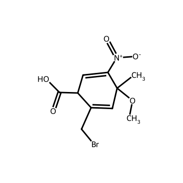 COC1(C)C=C(CBr)C(C(=O)O)C=C1[N+](=O)[O-]